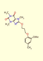 COc1cc(C)ccc1OCCCOc1nc2c(c(=O)n(C)c(=O)n2C)n1C